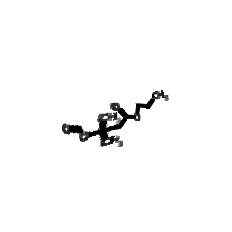 CCCOC(=O)CC(C)(C)OC=O